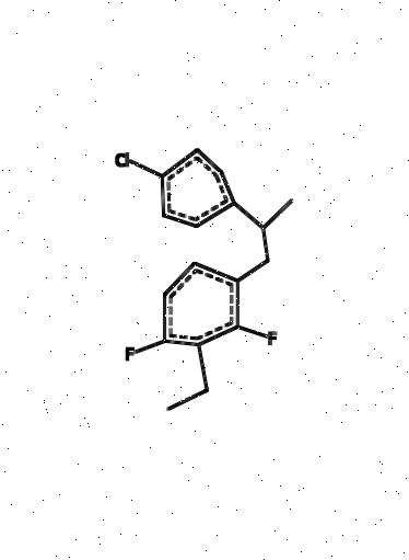 CCc1c(F)ccc(CC(C)c2ccc(Cl)cc2)c1F